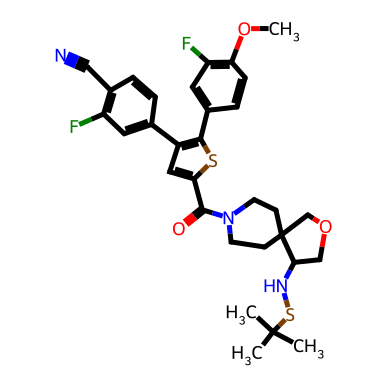 COc1ccc(-c2sc(C(=O)N3CCC4(CC3)COCC4NSC(C)(C)C)cc2-c2ccc(C#N)c(F)c2)cc1F